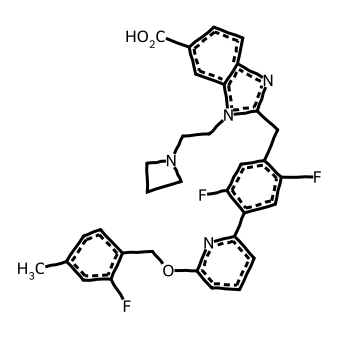 Cc1ccc(COc2cccc(-c3cc(F)c(Cc4nc5ccc(C(=O)O)cc5n4CCN4CCC4)cc3F)n2)c(F)c1